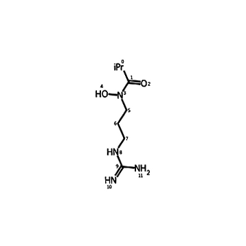 CC(C)C(=O)N(O)CCCNC(=N)N